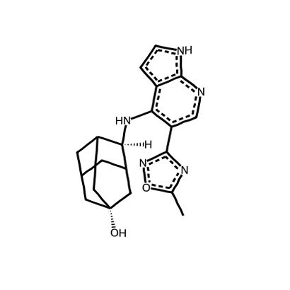 Cc1nc(-c2cnc3[nH]ccc3c2N[C@H]2C3CC4CC2C[C@](O)(C4)C3)no1